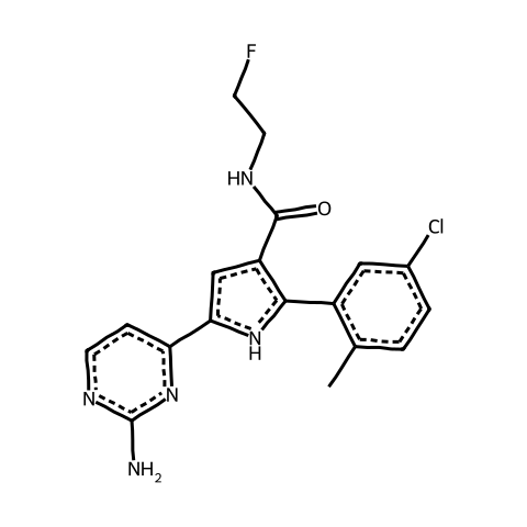 Cc1ccc(Cl)cc1-c1[nH]c(-c2ccnc(N)n2)cc1C(=O)NCCF